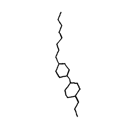 CCCCCCCCC1CCC(C2CCC(CCC)CC2)CC1